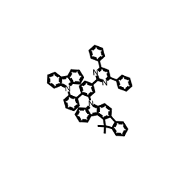 CC1(C)c2ccccc2-c2ccc3c(c21)c1ccccc1n3-c1cc(-c2nc(-c3ccccc3)cc(-c3ccccc3)n2)ccc1-c1ccccc1-n1c2ccccc2c2ccccc21